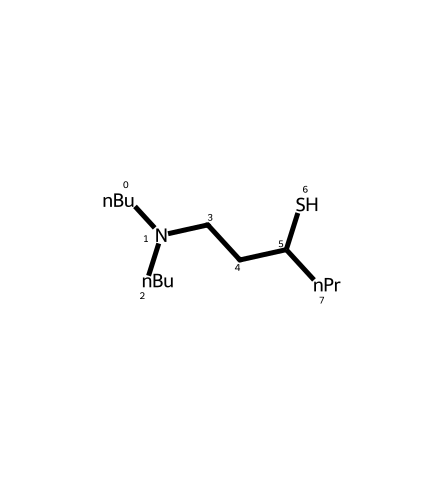 CCCCN(CCCC)CCC(S)CCC